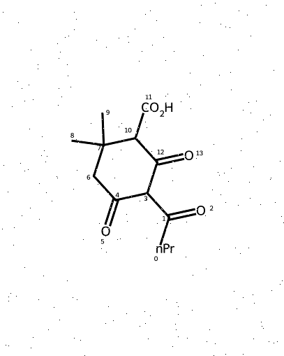 CCCC(=O)C1C(=O)CC(C)(C)C(C(=O)O)C1=O